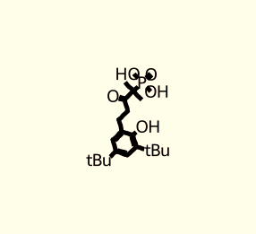 CC(C)(C)c1cc(CCC(=O)C(C)(C)P(=O)(O)O)c(O)c(C(C)(C)C)c1